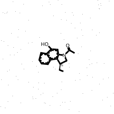 CC[C@@H]1CN(C(C)=O)c2cc(O)c3ccccc3c21